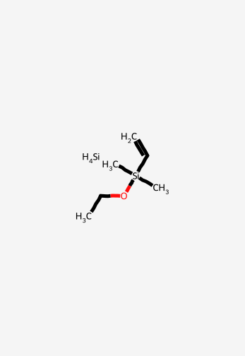 C=C[Si](C)(C)OCC.[SiH4]